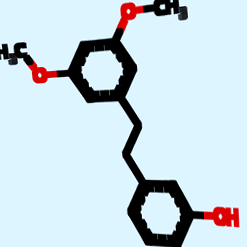 COc1cc(CCc2cccc(O)c2)cc(OC)c1